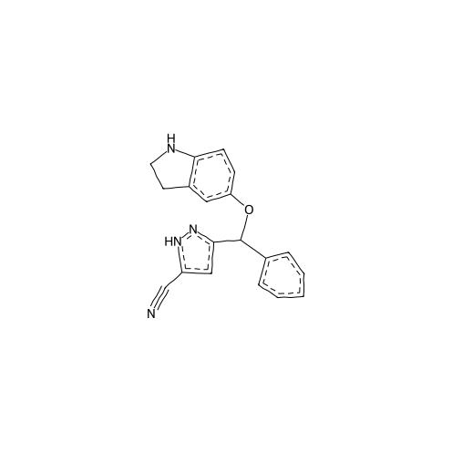 N#Cc1cc(C(Oc2ccc3c(c2)CCN3)c2ccccc2)n[nH]1